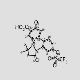 CC1(C)CC(Cl)C2c3cc(OS(=O)(=O)C(F)(F)F)ccc3-c3cc(=O)c(C(=O)O)cn3N21